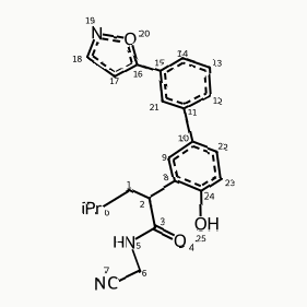 CC(C)CC(C(=O)NCC#N)c1cc(-c2cccc(-c3ccno3)c2)ccc1O